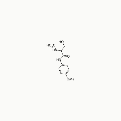 COc1ccc(NC(=O)C(CO)NC(=O)O)cc1